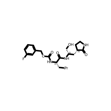 CC(C)C[C@H](NC(=O)OCc1cccc(F)c1)C(=O)N[C@H](CO)C[C@@H]1CCNC1=O